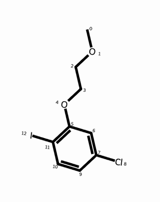 COCCOc1cc(Cl)ccc1I